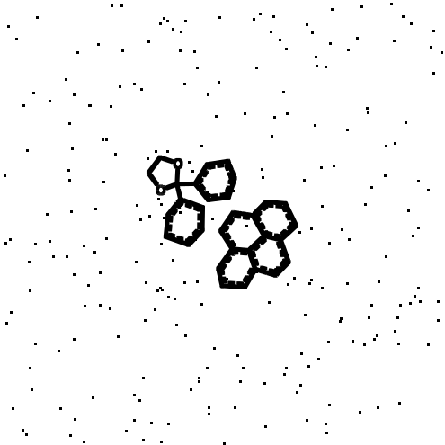 c1cc2ccc3cccc4ccc(c1)c2c34.c1ccc(C2(c3ccccc3)OCCO2)cc1